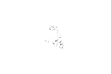 Cl.O.O=c1[nH]c2ccccc2n1CCN1CCC(OC(c2ccc(F)cc2)c2ccc(F)cc2)CC1